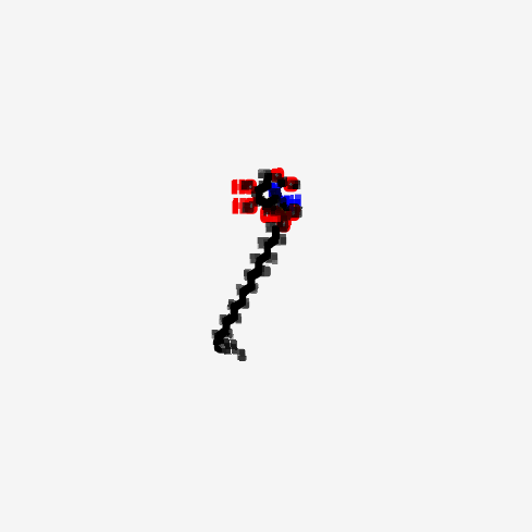 CCCCCCCCCCCCCCCCOS(=O)(=O)N[C@@H]1C(O)C(O)[C@H](O)C2COC(=O)N21